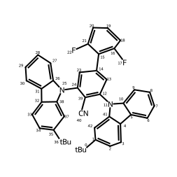 CC(C)(C)c1ccc2c3ccccc3n(-c3cc(-c4c(F)cccc4F)cc(-n4c5ccccc5c5ccc(C(C)(C)C)cc54)c3C#N)c2c1